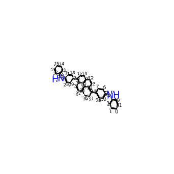 c1ccc(Nc2ccc(C3=c4ccc5ccc(-c6ccc(Nc7ccccc7)cc6)c6ccc(c4c56)CC3)cc2)cc1